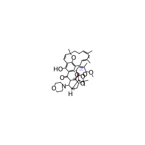 COC(=O)/C(C)=C\C[C@@]12OC(C)(C)C3C[C@H](C1=O)C(N1CCOCC1)C1C(=O)c4c(O)c5c(c(CC=C(C)C)c4O[C@]132)OC(C)(CCC=C(C)C)C=C5